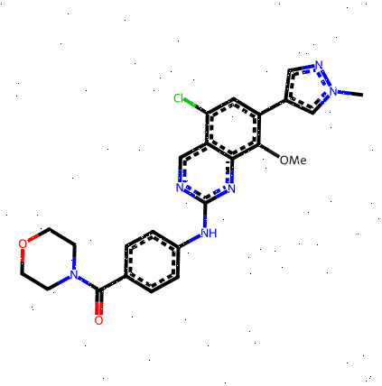 COc1c(-c2cnn(C)c2)cc(Cl)c2cnc(Nc3ccc(C(=O)N4CCOCC4)cc3)nc12